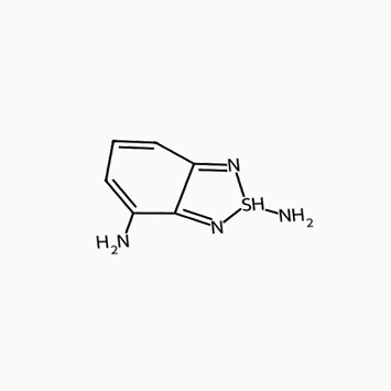 Nc1cccc2c1=N[SH](N)N=2